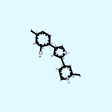 Cc1ccc(-c2csc(-c3ccnc(C)c3)c2)c(Cl)c1